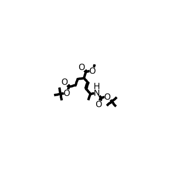 COC(=O)C(C=CC(C)NC(=O)OC(C)(C)C)CCC(=O)OC(C)(C)C